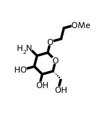 COCCOC1O[C@H](CO)C(O)C(O)C1N